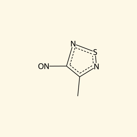 Cc1nsnc1N=O